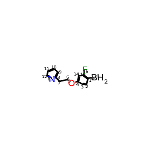 Bc1ccc(OCCc2ccccn2)cc1F